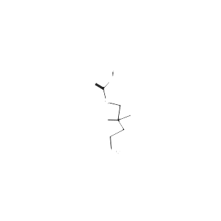 COCCC(C)(C)CNC(=O)OC(C)(C)C